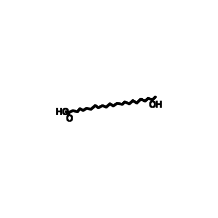 CC(O)CCCCCCCCCCCCCCCCCCCCCC(=O)O